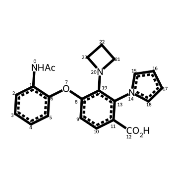 CC(=O)Nc1ccccc1Oc1ccc(C(=O)O)c(-n2cccc2)c1N1CCC1